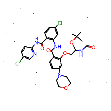 CC(C)(C)OC(COc1cc(N2CCOCC2)ccc1C(=O)Nc1cc(Cl)ccc1C(=O)Nc1ccc(Cl)cn1)NC=O